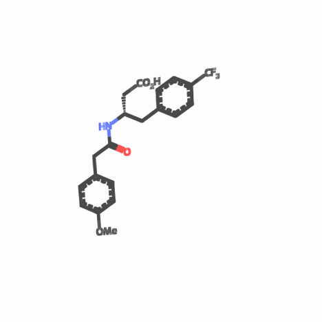 COc1ccc(CC(=O)N[C@H](CC(=O)O)Cc2ccc(C(F)(F)F)cc2)cc1